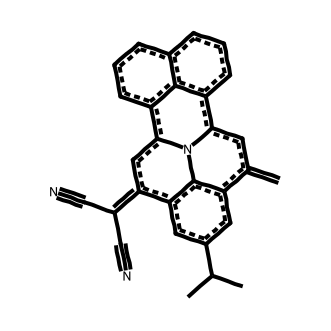 C=c1cc2c3cccc4cccc(c5cc(=C(C#N)C#N)c6cc(C(C)C)cc1c6N25)c43